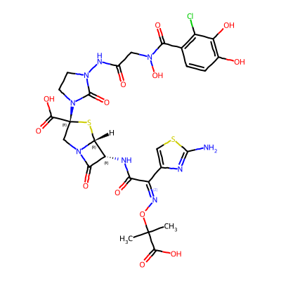 CC(C)(O/N=C(\C(=O)N[C@@H]1C(=O)N2C[C@@](C(=O)O)(N3CCN(NC(=O)CN(O)C(=O)c4ccc(O)c(O)c4Cl)C3=O)S[C@H]12)c1csc(N)n1)C(=O)O